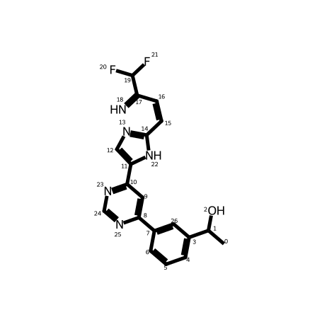 CC(O)c1cccc(-c2cc(-c3cnc(/C=C\C(=N)C(F)F)[nH]3)ncn2)c1